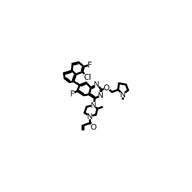 C=CC(=O)N1CCN(c2nc(OCC3CCCN3C)nc3cc(-c4cccc5ccc(F)c(Cl)c45)c(F)cc23)C(C)C1